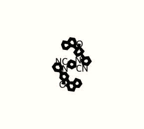 N#Cc1cc(-n2c3ccccc3c3cc4oc5ccc6ccccc6c5c4cc32)c(C#N)cc1-n1c2ccccc2c2cc3oc4ccc5ccccc5c4c3cc21